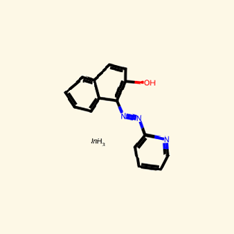 Oc1ccc2ccccc2c1N=Nc1ccccn1.[InH3]